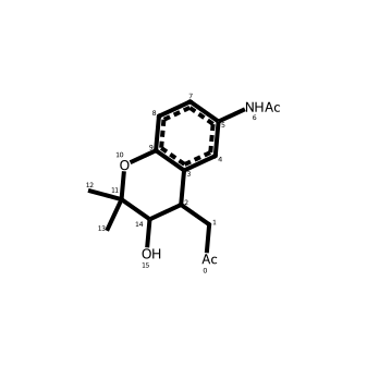 CC(=O)CC1c2cc(NC(C)=O)ccc2OC(C)(C)C1O